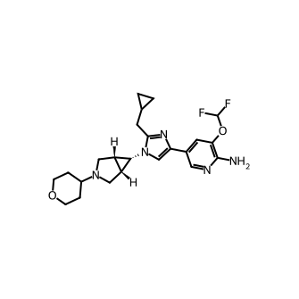 Nc1ncc(-c2cn([C@@H]3[C@@H]4CN(C5CCOCC5)C[C@@H]43)c(CC3CC3)n2)cc1OC(F)F